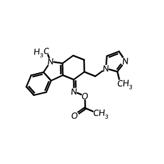 CC(=O)ON=C1c2c(n(C)c3ccccc23)CCC1Cn1ccnc1C